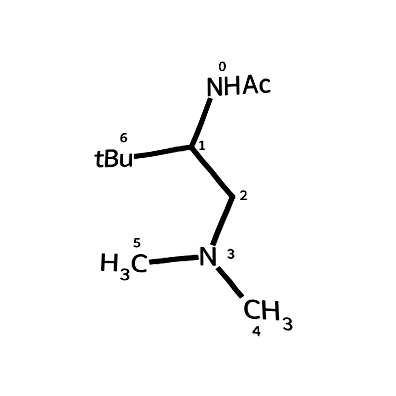 CC(=O)NC(CN(C)C)C(C)(C)C